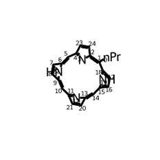 CCCc1c2nc(cc3ccc(cc4nc(cc5ccc1[nH]5)C=C4)[nH]3)C=C2